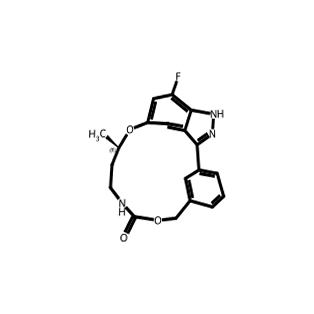 C[C@@H]1CCNC(=O)OCc2cccc(c2)-c2n[nH]c3c(F)cc(cc23)O1